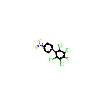 S=[N+]([S-])c1ccc(-c2c(Cl)c(Cl)c(Cl)c(Cl)c2Cl)cc1